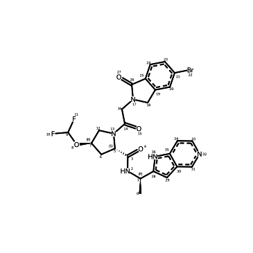 C[C@@H](NC(=O)[C@@H]1C[C@@H](OC(F)F)CN1C(=O)CN1Cc2cc(Br)ccc2C1=O)c1cc2cnccc2[nH]1